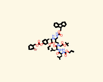 C=CCOC(=O)N[C@@H](CC(C)C)C(=O)N[C@@H](CC(C)C)C(=O)N(CCC(CNC(=O)OCC1c2ccccc2-c2ccccc21)N[C@@H](Cc1ccc(OC(=O)OCc2ccccc2Br)cc1)C(=O)OCC=C)CC(=O)OC(C)(C)C